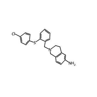 Nc1ccc2c(c1)CCN(Cc1ccccc1Sc1ccc(Cl)cc1)C2